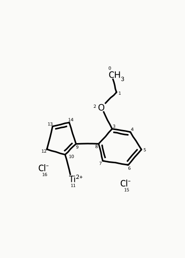 CCOc1ccccc1C1=[C]([Ti+2])CC=C1.[Cl-].[Cl-]